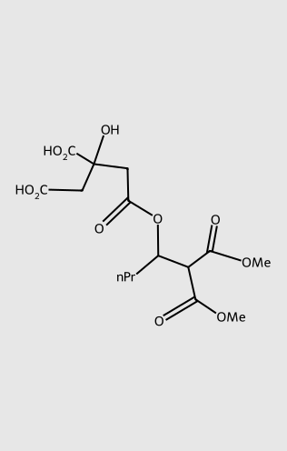 CCCC(OC(=O)CC(O)(CC(=O)O)C(=O)O)C(C(=O)OC)C(=O)OC